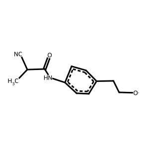 CC(C#N)C(=O)Nc1ccc(CC[O])cc1